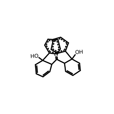 O=C(C1C=CC=CC1(O)c1ccccc1)C1C=CC=CC1(O)c1ccccc1